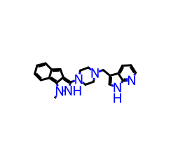 Cn1[nH]c(N2CCN(Cc3c[nH]c4ncccc34)CC2)c2cc3ccccc3c1-2